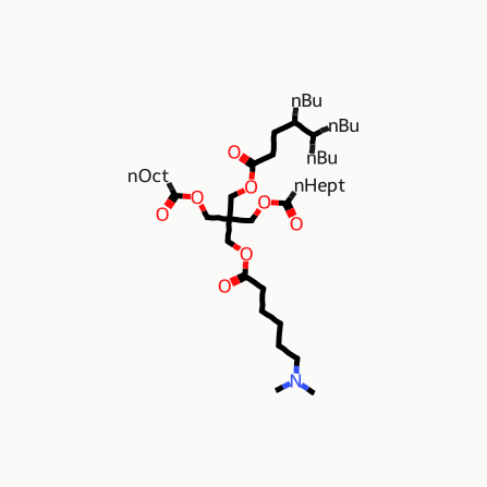 CCCCCCCCC(=O)OCC(COC(=O)CCCCCCC)(COC(=O)CCCCCN(C)C)COC(=O)CCC(CCCC)C(CCCC)CCCC